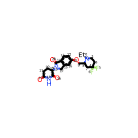 CCN1CCC(F)(F)CC1COc1ccc2c(c1)CN(C1CCC(=O)NC1=O)C2=O